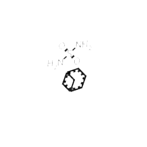 NS(N)(=O)=O.c1cc2cc(c1)C2